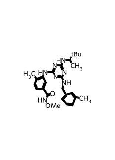 CONC(=O)c1ccc(C)c(Nc2nc(NCc3cccc(C)c3)nc(N[C@H](C)C(C)(C)C)n2)c1